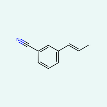 [CH2]C=Cc1cccc(C#N)c1